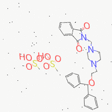 CS(=O)(=O)O.CS(=O)(=O)O.O=C1c2ccccc2C(=O)N1CN1CCN(CCOC(c2ccccc2)c2ccccc2)CC1